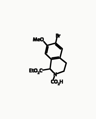 CCOC(=O)C1c2cc(OC)c(Br)cc2CCN1C(=O)O